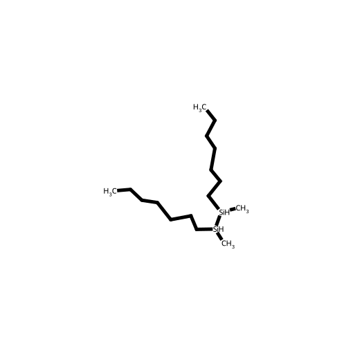 CCCCCCC[SiH](C)[SiH](C)CCCCCCC